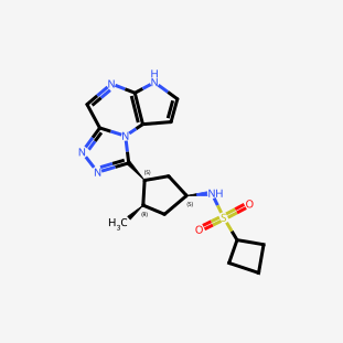 C[C@@H]1C[C@H](NS(=O)(=O)C2CCC2)C[C@@H]1c1nnc2cnc3[nH]ccc3n12